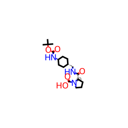 CC(C)(C)OC(=O)N[C@H]1CC[C@H](CNC(=O)[C@@H]2CCCN2C(=O)O)CC1